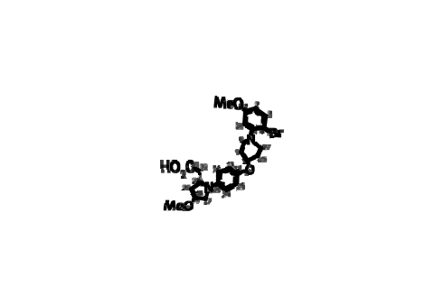 COc1ccc(Br)c(N2CCC(Oc3ccc(N4C[C@H](OC)C[C@@H]4CC(=O)O)cc3)CC2)c1